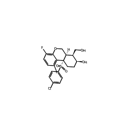 O=S(=O)(c1ccc(Cl)cc1)[C@@]12CC[C@H](O)[C@H](CO)[C@@H]1COc1c(F)ccc(F)c12